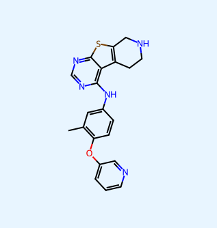 Cc1cc(Nc2ncnc3sc4c(c23)CCNC4)ccc1Oc1cccnc1